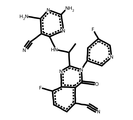 CC(Nc1nc(N)nc(N)c1C#N)c1nc2c(F)ccc(C#N)c2c(=O)n1-c1cncc(F)c1